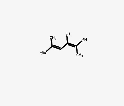 C/C(S)=C(S)\C=C(/C)C(C)(C)C